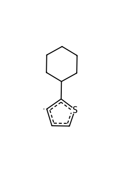 [c]1ccsc1C1CCCCC1